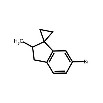 CC1Cc2ccc(Br)cc2C12CC2